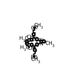 COC(=O)CCc1ccc(N(c2ccc(-c3nc4ccc(C)cc4nc3-c3ccc(N(c4ccc(CCC(=O)OC)cc4)c4ccc5c(c4)C(C)(C)c4ccccc4-5)cc3)cc2)c2ccc3c(c2)C(C)(C)c2ccccc2-3)cc1